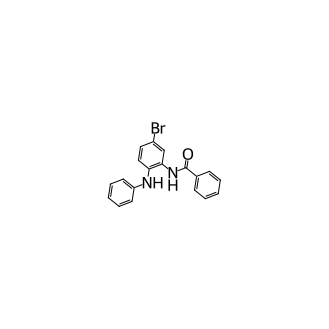 O=C(Nc1cc(Br)ccc1Nc1ccccc1)c1ccccc1